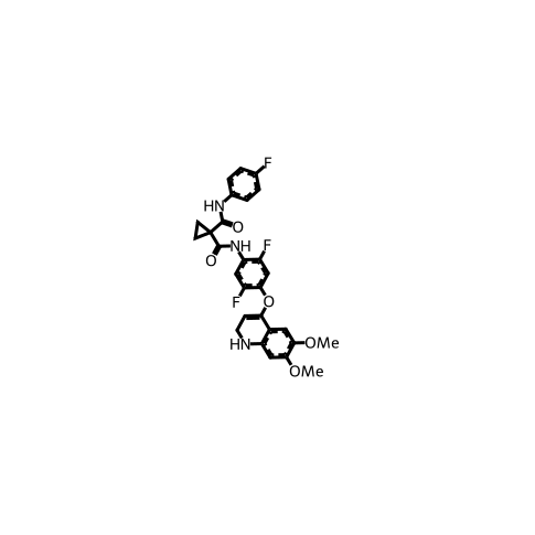 COc1cc2c(cc1OC)C(Oc1cc(F)c(NC(=O)C3(C(=O)Nc4ccc(F)cc4)CC3)cc1F)=CCN2